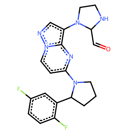 O=CC1NCCN1c1cnn2ccc(N3CCCC3c3cc(F)ccc3F)nc12